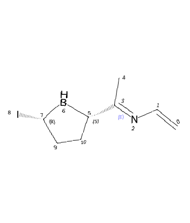 C=C/N=C(\C)[C@H]1B[C@@H](I)CC1